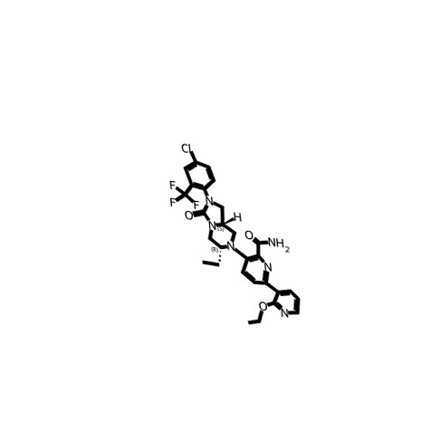 CCOc1ncccc1-c1ccc(N2C[C@H]3CN(c4ccc(Cl)cc4C(F)(F)F)C(=O)N3C[C@H]2CC)c(C(N)=O)n1